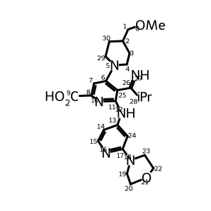 COCC1CCN(c2cc(C(=O)O)nc(Nc3ccnc(N4CCOCC4)c3)c2C(=N)C(C)C)CC1